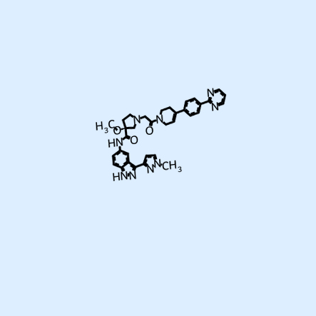 CO[C@@]1(C(=O)Nc2ccc3[nH]nc(-c4ccn(C)n4)c3c2)CCN(CC(=O)N2CC=C(c3ccc(-c4ncccn4)cc3)CC2)C1